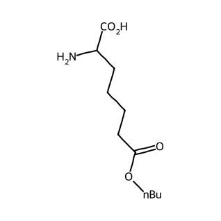 CCCCOC(=O)CCCCC(N)C(=O)O